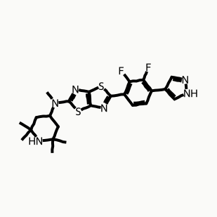 CN(c1nc2sc(-c3ccc(-c4cn[nH]c4)c(F)c3F)nc2s1)C1CC(C)(C)NC(C)(C)C1